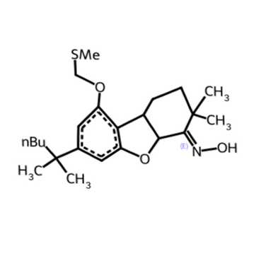 CCCCC(C)(C)c1cc(OCSC)c2c(c1)OC1/C(=N/O)C(C)(C)CCC21